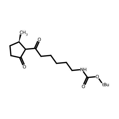 C[C@@H]1CCC(=O)C1C(=O)CCCCCNC(=O)OC(C)(C)C